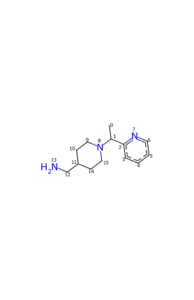 CC(c1ccccn1)N1CCC(CN)CC1